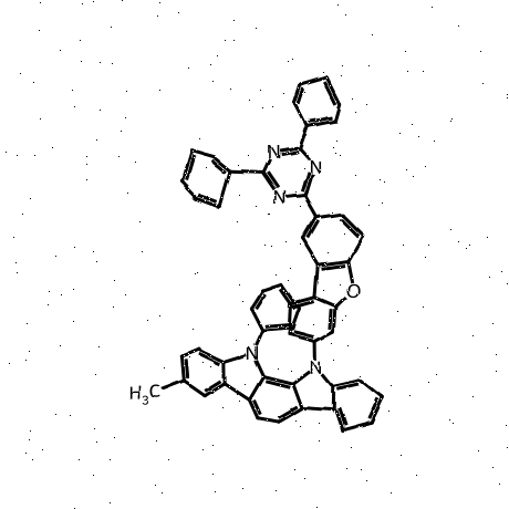 Cc1ccc2c(c1)c1ccc3c4ccccc4n(-c4ccc5c(c4)oc4ccc(-c6nc(-c7ccccc7)nc(-c7ccccc7)n6)cc45)c3c1n2-c1ccccc1